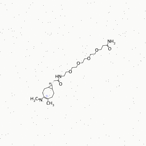 C=N/C1=C(\C)CCC2C(CC1)[C@@H]2CC(=O)NCCOCCOCCOCCOCCC(N)=O